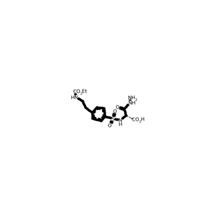 CCOC(=O)NCCc1ccc(S(=O)(=O)N[C@@H](C(=O)O)C(=O)NN)cc1